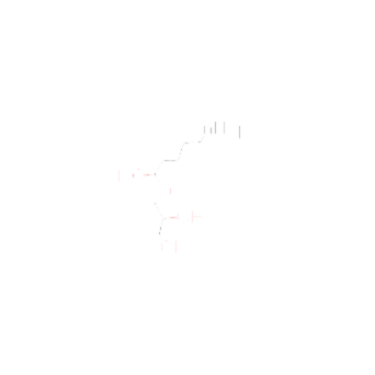 CCCCCCCCCCCC(O)OCC(O)CO